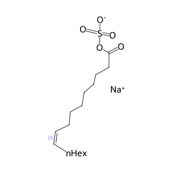 CCCCCC/C=C\CCCCCCCC(=O)OS(=O)(=O)[O-].[Na+]